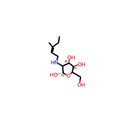 CCC(C)=CCNC1[C@@H](O)[C@@H](O)C(CO)O[C@@H]1O